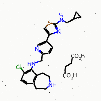 Clc1ccc2c(c1NCc1ccc(-c3csc(NCC4CC4)n3)cn1)CCNCC2.O=C(O)CCC(=O)O